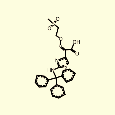 CS(=O)(=O)CCON=C(C(=O)O)c1csc(NC(c2ccccc2)(c2ccccc2)c2ccccc2)n1